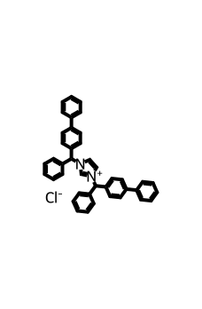 [Cl-].c1ccc(-c2ccc(C(c3ccccc3)n3cc[n+](C(c4ccccc4)c4ccc(-c5ccccc5)cc4)c3)cc2)cc1